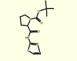 CC(C)(C)OC(=O)N1CCCC1C(=O)Nc1nccs1